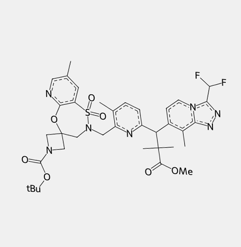 COC(=O)C(C)(C)C(c1ccc(C)c(CN2CC3(CN(C(=O)OC(C)(C)C)C3)Oc3ncc(C)cc3S2(=O)=O)n1)c1ccn2c(C(F)F)nnc2c1C